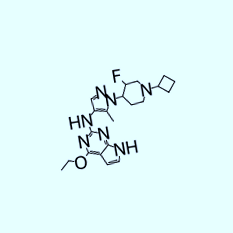 CCOc1nc(Nc2cnn(C3CCN(C4CCC4)CC3F)c2C)nc2[nH]ccc12